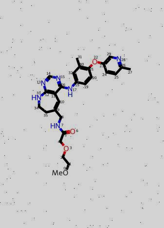 COCCOCC(=O)NCC1=Cc2c(ncnc2Nc2ccc(Oc3ccc(C)nc3)c(C)c2)NCC1